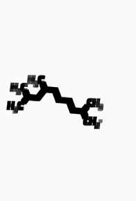 [CH2]C(C)CCCCC(C)CC(C)C